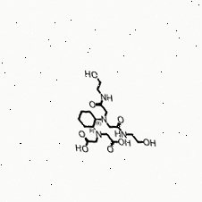 O=C(O)CN(CC(=O)O)[C@@H]1CCCC[C@H]1N(CC(=O)NCCO)CC(=O)NCCO